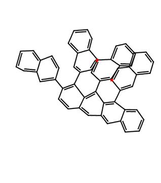 c1ccc2cc(-c3ccc4cc5cc6ccccc6c(-c6ccc7ccccc7c6)c5c(-c5ccc6ccccc6c5)c4c3-c3ccc4ccccc4c3)ccc2c1